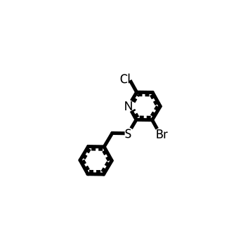 Clc1ccc(Br)c(SCc2ccccc2)n1